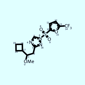 COC(Cc1ncn(S(=O)(=O)c2ccc(C(F)(F)F)o2)n1)C1CCC1